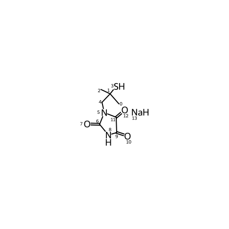 CC(C)(S)CN1C(=O)NC(=O)C1=O.[NaH]